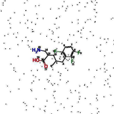 CC(Cc1c(F)ccc(F)c1F)CC(CN)C(=O)O